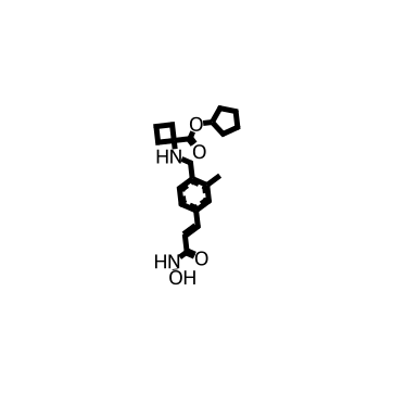 Cc1cc(/C=C/C(=O)NO)ccc1CNC1(C(=O)OC2CCCC2)CCC1